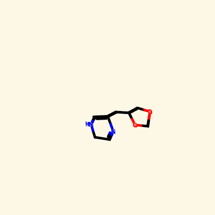 [C]1=C(CC2COCO2)N=CCN1